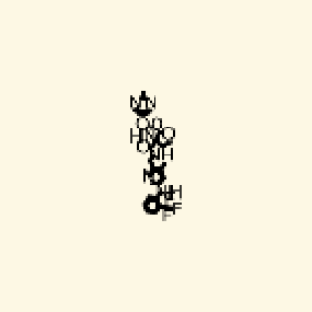 Cc1ncc(OC(=O)N[C@@]2(C(=O)NCc3ncc(Nc4ccccc4C(F)(F)F)cc3C)CCOC2)cn1